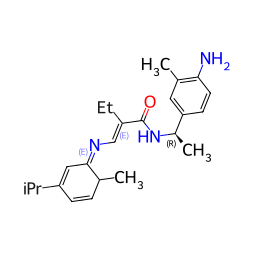 CC/C(=C\N=C1\C=C(C(C)C)C=CC1C)C(=O)N[C@H](C)c1ccc(N)c(C)c1